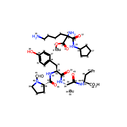 CC(C)(C)OC(=O)[C@](N)(CCCCN)C(=O)NC1CCCC1.CC[C@H](C)[C@H](NC(=O)[C@H](Cc1ccc(O)cc1)NC(=O)[C@@H]1CCCN1C=O)C(=O)N[C@@H](CC(C)C)C(=O)O